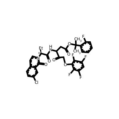 CC[C@@H](C(=O)NC(CC(=O)OC(C)(C)c1ccccc1F)C(=O)COc1c(F)c(F)cc(F)c1F)n1ccc2ccc(Cl)cc2c1=O